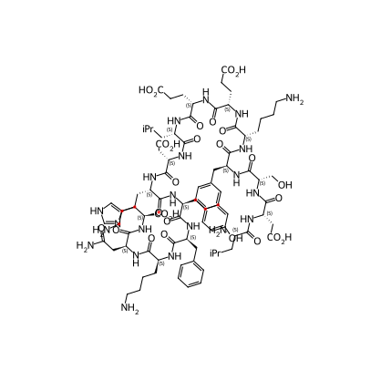 CC(C)C[C@H](NC(=O)[C@H](CCC(=O)O)NC(=O)[C@H](CCC(=O)O)NC(=O)[C@H](CCCCN)NC(=O)[C@H](Cc1ccccc1)NC(=O)[C@H](CO)NC(=O)[C@H](CC(=O)O)NC(=O)[C@@H](N)CC(C)C)C(=O)N[C@@H](CC(=O)O)C(=O)N[C@@H](CCCCN)C(=O)N[C@@H](Cc1ccc(O)cc1)C(=O)N[C@@H](Cc1ccccc1)C(=O)N[C@@H](CCCCN)C(=O)N[C@@H](CC(N)=O)C(=O)N[C@@H](Cc1c[nH]cn1)C(=O)O